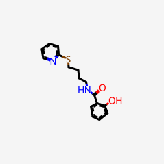 O=C(NCCCCSc1ccccn1)c1ccccc1O